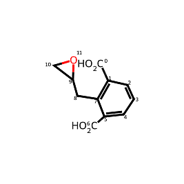 O=C(O)c1cccc(C(=O)O)c1CC1CO1